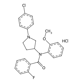 COc1ccccc1N(C(=O)c1ccccc1F)C1CCN(c2ccc(Cl)cc2)C1.Cl